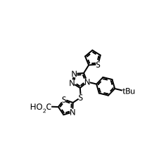 CC(C)(C)c1ccc(-n2c(Sc3ncc(C(=O)O)s3)nnc2-c2cccs2)cc1